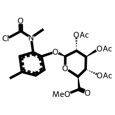 COC(=O)[C@H]1O[C@@H](Oc2ccc(C)cc2N(C)C(=O)Cl)[C@H](OC(C)=O)[C@@H](OC(C)=O)[C@@H]1OC(C)=O